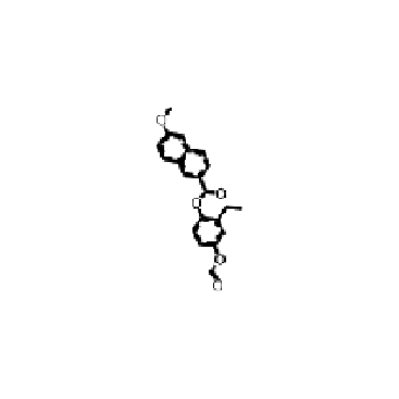 CCc1cc(OC=O)ccc1OC(=O)c1ccc2cc(OC)ccc2c1